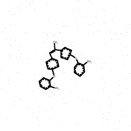 CC(=Cc1ccc(Oc2ccccc2[N+](=O)[O-])cc1)c1ccc(Oc2ccccc2[N+](=O)[O-])cc1